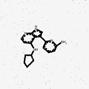 Nc1cccc(-c2c[nH]c3nccc(NC4CCCC4)c23)n1